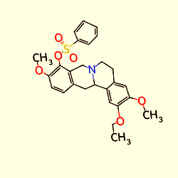 CCOc1cc2c(cc1OC)CCN1Cc3c(ccc(OC)c3OS(=O)(=O)c3ccccc3)CC21